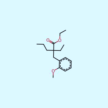 CCCC(CC)(Cc1ccccc1OC)C(=O)OCC